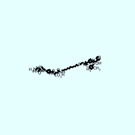 Cc1ccc(C)c(Cn2c(C(O)c3ccncc3)nc3ccc(-c4cnn(CCOCCCCCCCCCCCCNC(=O)CC[C@H](NC(=O)c5ccc(NCc6cnc7nc(N)[nH]c(=O)c7n6)cc5)C(=O)O)c4)cc32)c1